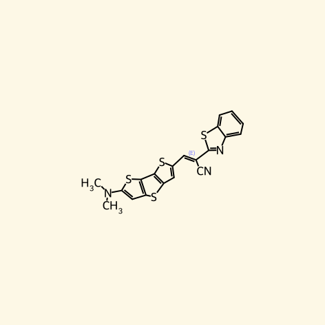 CN(C)c1cc2sc3cc(/C=C(\C#N)c4nc5ccccc5s4)sc3c2s1